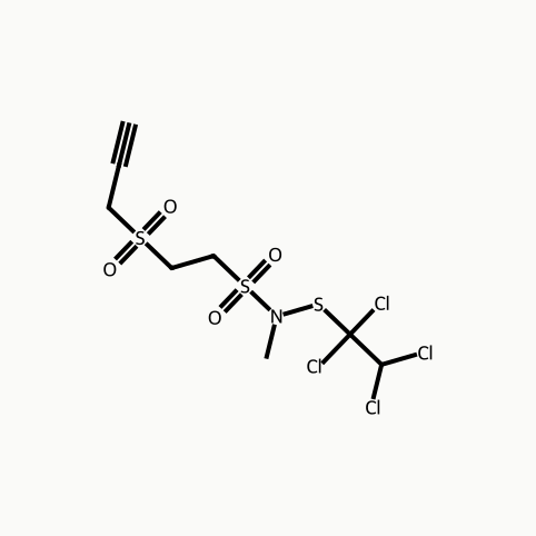 C#CCS(=O)(=O)CCS(=O)(=O)N(C)SC(Cl)(Cl)C(Cl)Cl